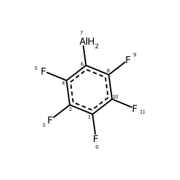 Fc1c(F)c(F)[c]([AlH2])c(F)c1F